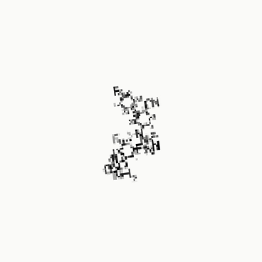 N#Cc1ccc(N(Cc2c(F)cc(OS(N)(=O)=O)cc2F)n2cnnc2)cc1-c1ccc(F)cc1